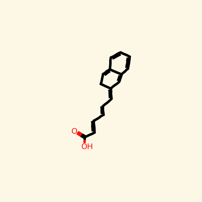 O=C(O)C=CC=CC=C1C=c2ccccc2=CC1